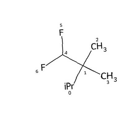 CC(C)C(C)(C)C(F)F